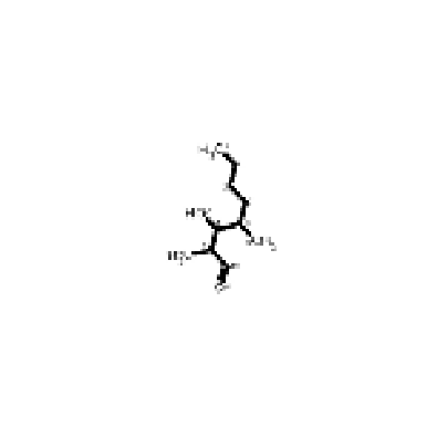 CCCCC(C)C(O)C(C)C=O